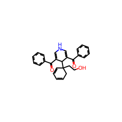 O=C(C1=CNC=C(C(=O)c2ccccc2)C1C1(CCO)C=CC=CC1)c1ccccc1